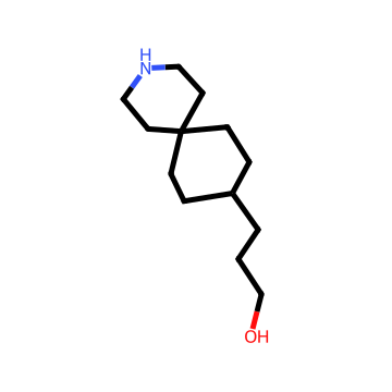 OCCCC1CCC2(CCNCC2)CC1